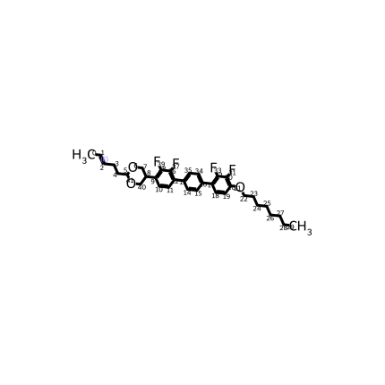 C/C=C/CCC1OCC(c2ccc(-c3ccc(-c4ccc(OCCCCCCCC)c(F)c4F)cc3)c(F)c2F)CO1